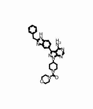 Nc1ncnc2c1c(-c1ccc3[nH]c(Cc4ccccc4)nc3c1)nn2C1CCN(C(=O)N2CCOCC2)CC1